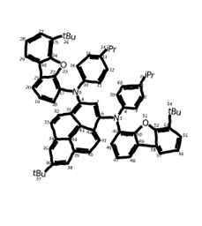 CC(C)c1ccc(N(c2cc(N(c3ccc(C(C)C)cc3)c3cccc4c3oc3c(C(C)(C)C)cccc34)c3ccc4cc(C(C)(C)C)cc5ccc2c3c54)c2cccc3c2oc2c(C(C)(C)C)cccc23)cc1